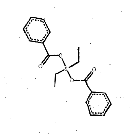 CC[Si](CC)(OC(=O)c1ccccc1)OC(=O)c1ccccc1